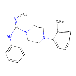 CCCC/N=C(/Nc1ccccc1)N1CCN(c2ccccc2OC)CC1